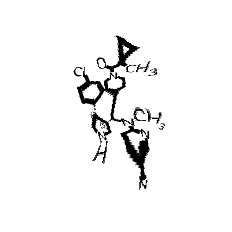 CN(c1ccc(C#N)cn1)C(C1CCN(C(=O)C2(C)CC2)CC1)[C@@H]1CNC[C@@H]1c1ccc(Cl)cc1